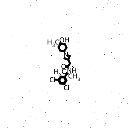 CC1(O)CCC(N2CC(CC(=O)NC(C)(C)c3cc(Cl)cc(Cl)c3)C2)CC1